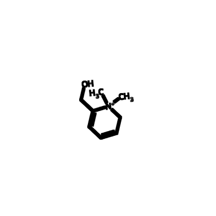 C[N+]1(C)CC=CC=C1CO